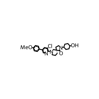 COc1ccc(-c2cnc(N3CCC[C@@]4(CCN(C5CCC(O)CC5)C4=O)C3)c(Cl)c2)cc1